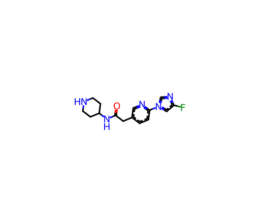 O=C(Cc1ccc(-n2cnc(F)c2)nc1)NC1CCNCC1